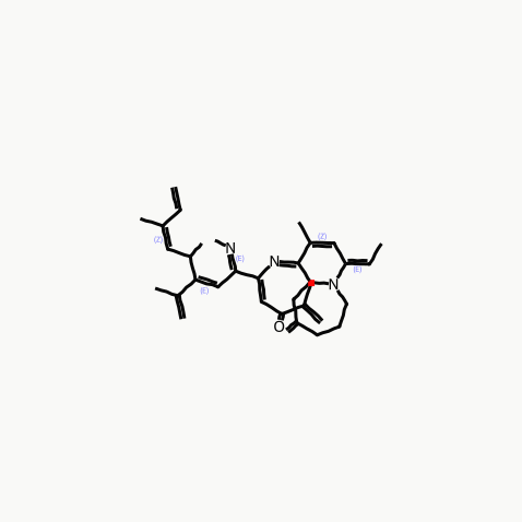 C=C/C(C)=C\C(C)/C(=C\C(=N/C)C1=CC(=O)C(=C)CC(/C(C)=C\C(=C/C)N2CCCC(=C)CC2)=N1)C(=C)C